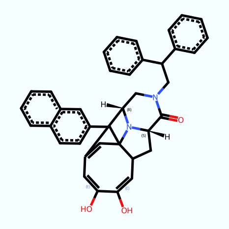 O=C1[C@@H]2CC3/C=C(O)\C(O)=C/C4=CC3(Cc3ccc5ccccc5c3)N2[C@H]4CN1CC(c1ccccc1)c1ccccc1